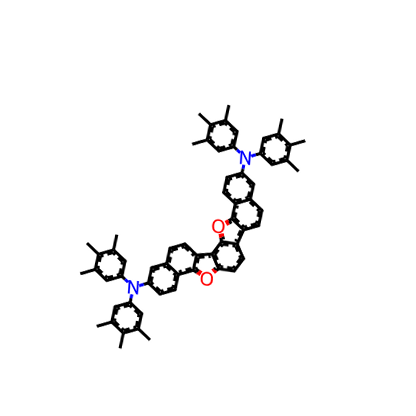 Cc1cc(N(c2cc(C)c(C)c(C)c2)c2ccc3c(ccc4c5ccc6oc7c8ccc(N(c9cc(C)c(C)c(C)c9)c9cc(C)c(C)c(C)c9)cc8ccc7c6c5oc34)c2)cc(C)c1C